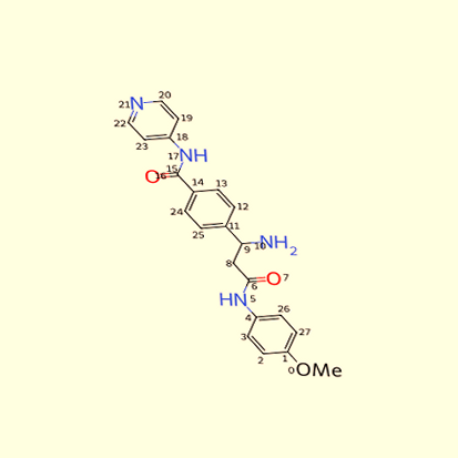 COc1ccc(NC(=O)CC(N)c2ccc(C(=O)Nc3ccncc3)cc2)cc1